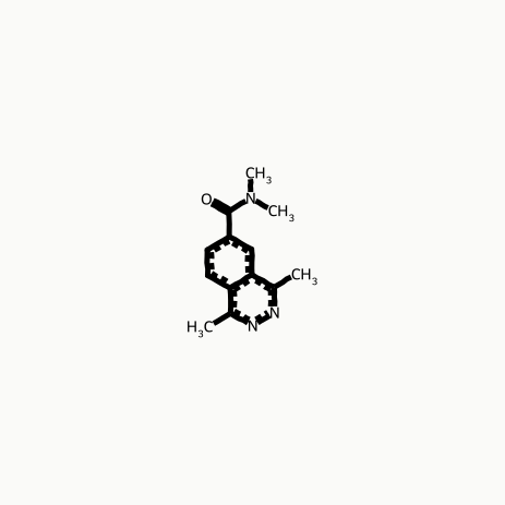 Cc1nnc(C)c2cc(C(=O)N(C)C)ccc12